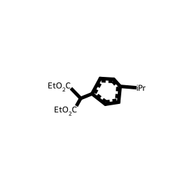 CCOC(=O)C(C(=O)OCC)c1ccc(C(C)C)cc1